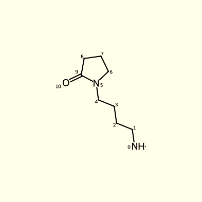 [NH]CCCCN1CCCC1=O